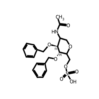 CC(=O)NC1COC(COS(=O)(=O)O)[C@H](OCc2ccccc2)[C@H]1OCc1ccccc1